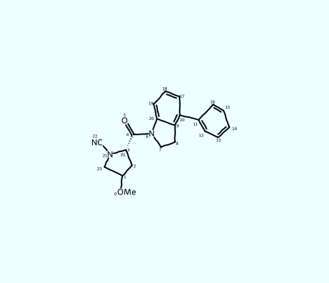 COC1C[C@@H](C(=O)N2CCc3c(-c4ccccc4)cccc32)N(C#N)C1